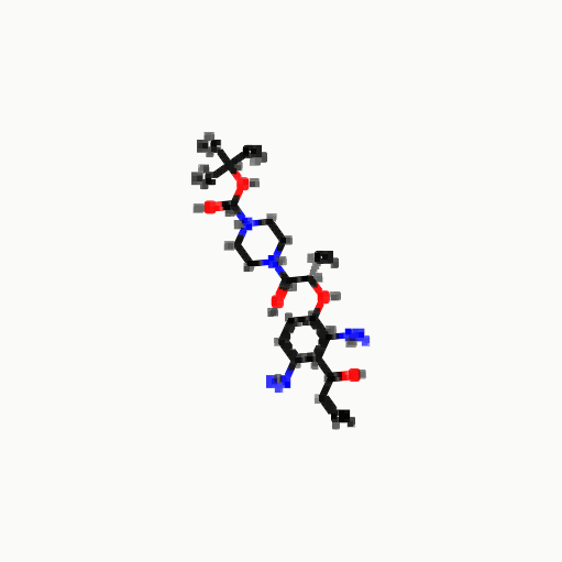 C=CC(=O)c1c(N)ccc(O[C@@H](C)C(=O)N2CCN(C(=O)OC(C)(C)C)CC2)c1N